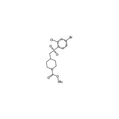 CC(C)(C)OC(=O)N1CCC(CS(=O)(=O)c2ccc(Br)cc2Cl)CC1